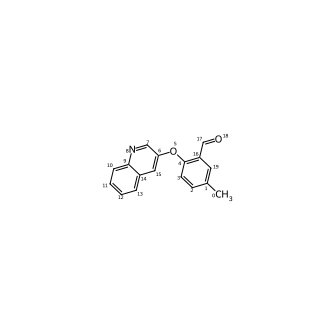 Cc1ccc(Oc2cnc3ccccc3c2)c(C=O)c1